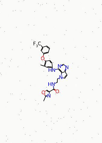 Cc1nc(C(=O)NCCn2ccc3ncnc(Nc4ccc(Oc5cccc(C(F)(F)F)c5)c(C)c4)c32)co1